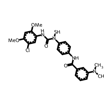 COc1cc(OC)c(NC(=O)N(S)c2ccc(NC(=O)c3cccc(N(C)C)c3)cc2)cc1Cl